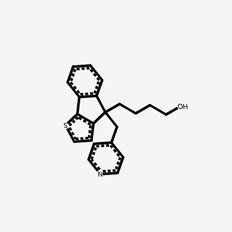 OCCCCC1(Cc2ccncc2)c2ccccc2-c2sccc21